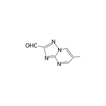 Cc1cnc2nc(C=O)nn2c1